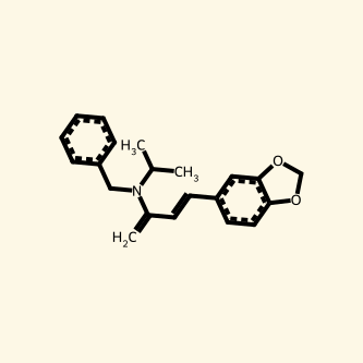 C=C(/C=C/c1ccc2c(c1)OCO2)N(Cc1ccccc1)C(C)C